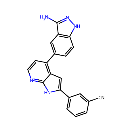 N#Cc1cccc(-c2cc3c(-c4ccc5[nH]nc(N)c5c4)ccnc3[nH]2)c1